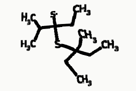 CCC(C)(CC)SC([S])(CC)C(C)C